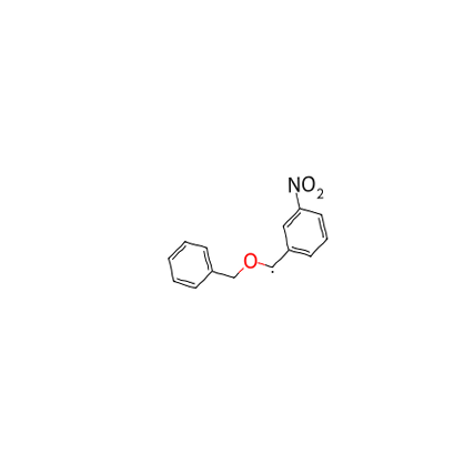 O=[N+]([O-])c1cccc([CH]OCc2ccccc2)c1